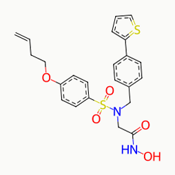 C=CCCOc1ccc(S(=O)(=O)N(CC(=O)NO)Cc2ccc(-c3cccs3)cc2)cc1